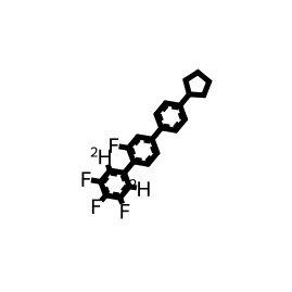 [2H]c1c(F)c(F)c(F)c([2H])c1-c1ccc(-c2ccc(C3CCCC3)cc2)cc1F